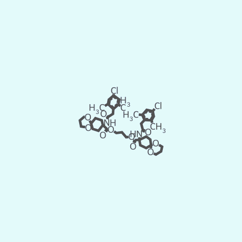 Cc1cc(Cl)cc(C)c1CC(=O)NC1(C(=O)OCCCOC(=O)C2(NC(=O)Cc3c(C)cc(Cl)cc3C)CCC3(CC2)OCCCO3)CCC2(CC1)OCCCO2